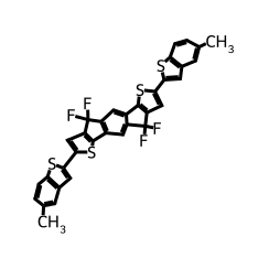 Cc1ccc2sc(-c3cc4c(s3)-c3cc5c(cc3C4(F)F)-c3sc(-c4cc6cc(C)ccc6s4)cc3C5(F)F)cc2c1